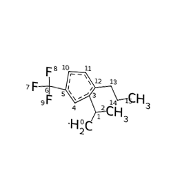 [CH2]C(C)c1cc(C(F)(F)F)ccc1CCC